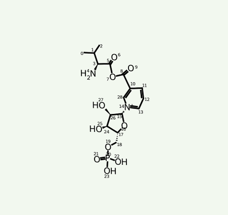 CC(C)[C@H](N)C(=O)OC(=O)c1ccc[n+]([C@@H]2O[C@H](COP(=O)(O)O)[C@@H](O)[C@H]2O)c1